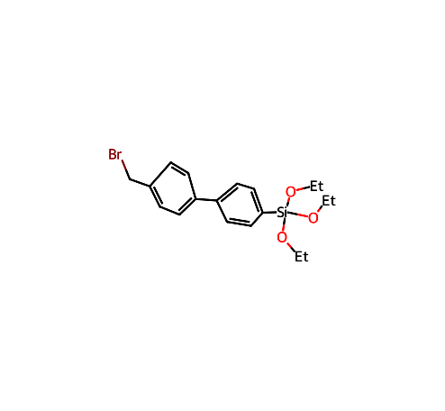 CCO[Si](OCC)(OCC)c1ccc(-c2ccc(CBr)cc2)cc1